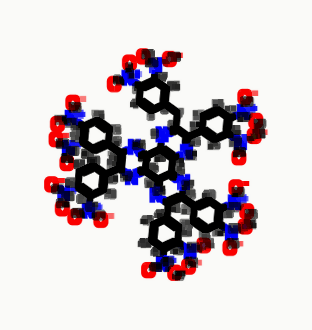 O=[N+]([O-])c1ccc(Cc2nc3c(nc2-c2ccc([N+](=O)[O-])c([N+](=O)[O-])c2)c2nc(-c4ccc([N+](=O)[O-])c([N+](=O)[O-])c4)c(-c4ccc([N+](=O)[O-])c([N+](=O)[O-])c4)nc2c2nc(-c4ccc([N+](=O)[O-])c([N+](=O)[O-])c4)c(-c4ccc([N+](=O)[O-])c([N+](=O)[O-])c4)nc32)cc1[N+](=O)[O-]